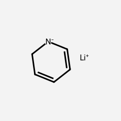 C1=CC[N-]C=C1.[Li+]